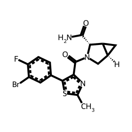 Cc1nc(C(=O)N2C[C@@H]3CC3[C@H]2C(N)=O)c(-c2ccc(F)c(Br)c2)s1